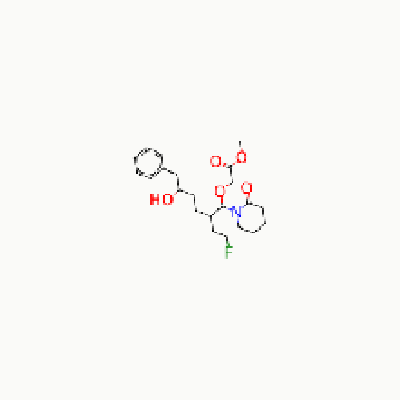 COC(=O)CO[C@H](C(CCF)CCC(O)Cc1ccccc1)N1CCCCC1=O